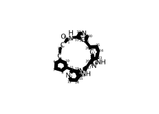 O=C1CCCc2cccc(c2)-c2nccc3[nH]c(nc23)-c2n[nH]c3ccc(cc23)-c2cncc(c2)N1